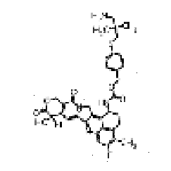 CC[C@@]1(O)C(=O)OCc2c1cc1n(c2=O)Cc2c-1nc1cc(F)c(C)c3c1c2[C@@H](NC(=O)OCc1ccc(SCC(C)(C)CN)cc1)CC3